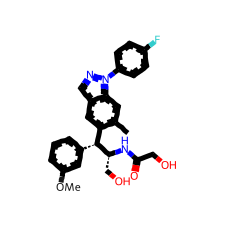 COc1cccc([C@H](c2cc3cnn(-c4ccc(F)cc4)c3cc2C)[C@@H](CO)NC(=O)CO)c1